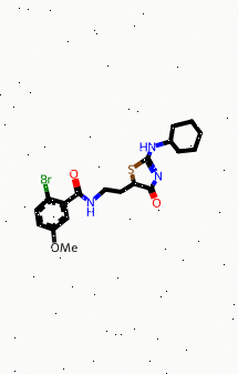 COc1ccc(Br)c(C(=O)NCCC2SC(NC3CCCCC3)=NC2=O)c1